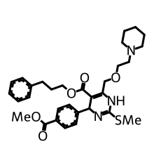 COC(=O)c1ccc(C2N=C(SC)NC(COCCN3CCCCC3)=C2C(=O)OCCCc2ccccc2)cc1